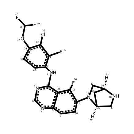 Fc1c(Nc2ncnc3ccc(N4C[C@@H]5C[C@H]4CN5)c(F)c23)ccc(OC(F)F)c1Cl